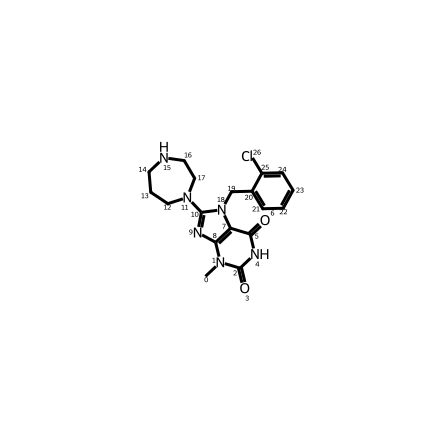 Cn1c(=O)[nH]c(=O)c2c1nc(N1CCCNCC1)n2Cc1ccccc1Cl